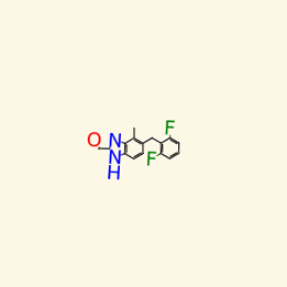 Cc1c(Cc2c(F)cccc2F)ccc2[nH]c(C=O)nc12